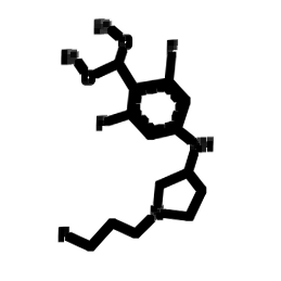 CCOC(OCC)c1c(F)cc(NC2CCN(CCCF)C2)cc1F